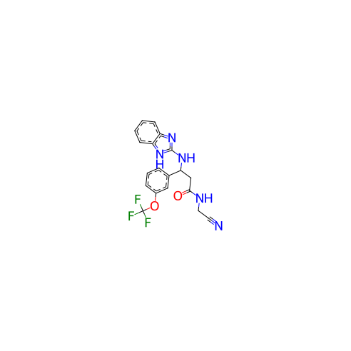 N#CCNC(=O)CC(Nc1nc2ccccc2[nH]1)c1cccc(OC(F)(F)F)c1